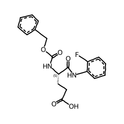 O=C(O)CC[C@H](NC(=O)OCc1ccccc1)C(=O)Nc1ccccc1F